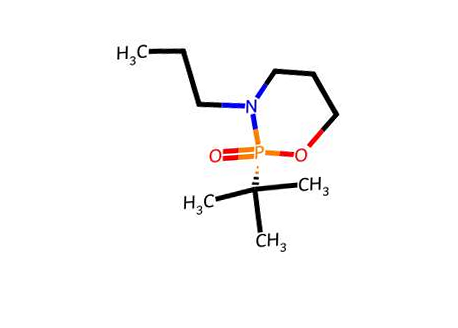 CCCN1CCCO[P@]1(=O)C(C)(C)C